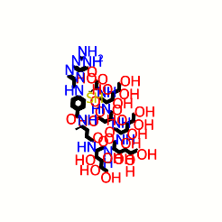 C[C@H](CCC(=O)N[C@H](C(=O)N[C@H](C(=O)N[C@H](C(=O)NC(CC(=O)O)C(=O)N[C@H](C(=O)N[C@H](CS)C(=O)O)[C@@H](O)[C@H](O)[C@H](O)CO)[C@@H](O)[C@H](O)[C@H](O)CO)[C@H](O)[C@@H](O)[C@@H](O)CO)[C@@H](O)[C@H](O)[C@H](O)CO)NC(=O)c1ccc(NCc2cnc3nc(N)[nH]c(=O)c3n2)cc1